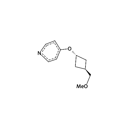 COC[C@H]1C[C@H](Oc2ccncc2)C1